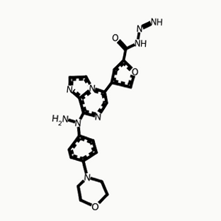 N=NNC(=O)c1cc(-c2cnc(N(N)c3ccc(N4CCOCC4)cc3)c3nccn23)co1